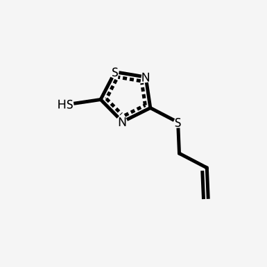 C=CCSc1nsc(S)n1